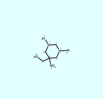 CC(C)N1CN(C(C)C)CC(CO)([N+](=O)[O-])C1